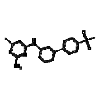 Cc1cc(Nc2cccc(-c3ccc(S(C)(=O)=O)cc3)c2)nc(N)n1